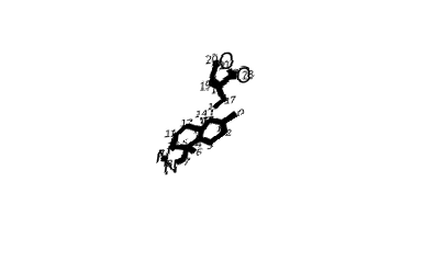 C=C1CCC2C3(C)C=NN=C3CC[C@@]2(C)[C@@H]1CCC1=CCOC1=O